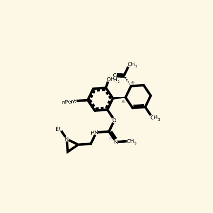 C=C(C)[C@@H]1CCC(C)=C[C@H]1c1c(O)cc(CCCCC)cc1O/C(=N\C)NCC1CN1CC